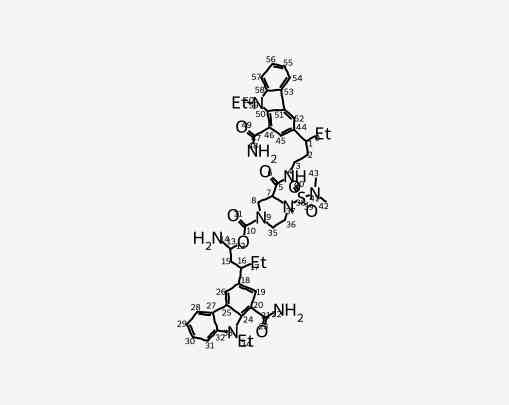 CCC(CCNC(=O)C1CN(C(=O)OC(N)CC(CC)c2cc(C(N)=O)c3c(c2)c2ccccc2n3CC)CCN1S(=O)(=O)N(C)C)c1cc(C(N)=O)c2c(c1)c1ccccc1n2CC